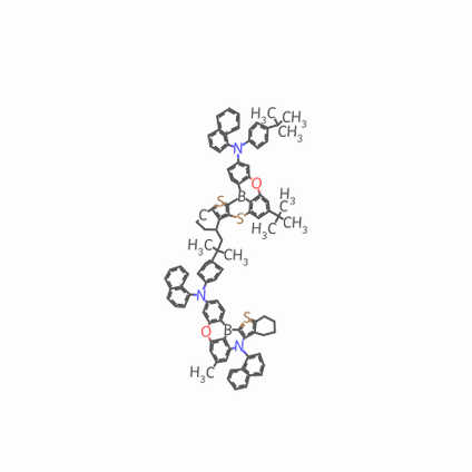 Cc1cc2c3c(c1)N(c1cccc4ccccc14)c1c(sc4c1CCCC4)B3c1ccc(N(c3ccc(C(C)(C)CC4CCCc5sc6c(c54)Sc4cc(C(C)(C)C)cc5c4B6c4ccc(N(c6ccc(C(C)(C)C)cc6)c6cccc7ccccc67)cc4O5)cc3)c3cccc4ccccc34)cc1O2